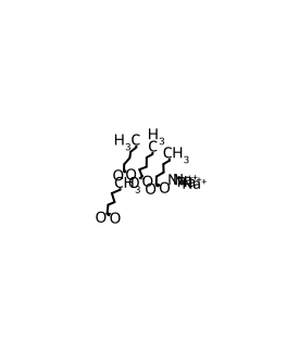 CCCCCC(=O)[O-].CCCCCC(=O)[O-].CCCCCC(=O)[O-].CCCCCC(=O)[O-].[Na+].[Na+].[Na+].[Na+]